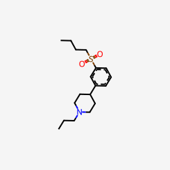 CCCCS(=O)(=O)c1cccc(C2CCN(CCC)CC2)c1